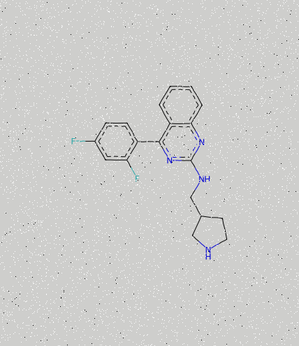 Fc1ccc(-c2nc(NCC3CCNC3)nc3ccccc23)c(F)c1